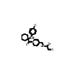 O=C(CCl)NCC1CCN(C(=O)C2(Nc3ccc(Cl)cc3)CCCCC2)CC1